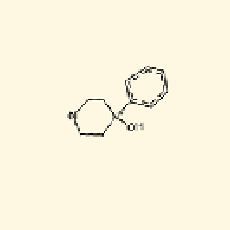 O[N+]1(c2ccccc2)CC[N]CC1